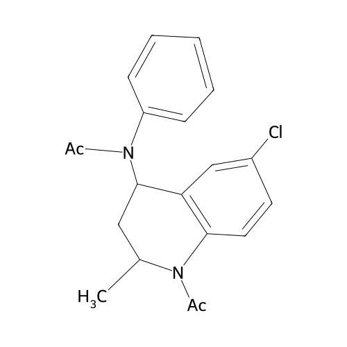 CC(=O)N1c2ccc(Cl)cc2C(N(C(C)=O)c2ccccc2)CC1C